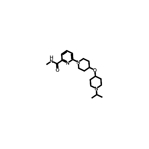 CNC(=O)c1cccc(N2CCC(OC3CCN(C(C)C)CC3)CC2)n1